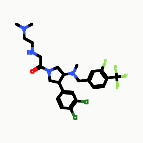 CN(C)CCNCC(=O)N1CC(c2ccc(Cl)c(Cl)c2)C(N(C)Cc2ccc(C(F)(F)F)c(F)c2)C1